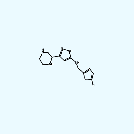 Clc1ccc(CNc2cc(C3CNCCN3)n[nH]2)s1